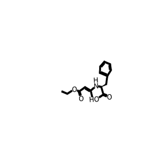 CCOC(=O)/C=C(\C)N[C@@H](Cc1ccccc1)C(=O)O